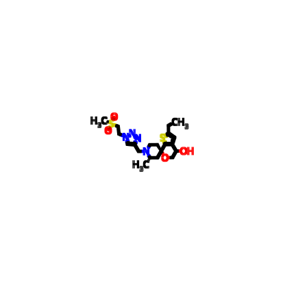 CCc1cc2c(s1)[C@]1(CCN(Cc3cn(CCS(C)(=O)=O)nn3)[C@@H](C)C1)OCC2O